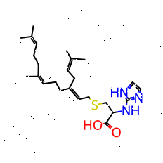 CC(C)=CCCC(C)=CCCC(=CCSCC(Nc1ncc[nH]1)C(=O)O)CC=C(C)C